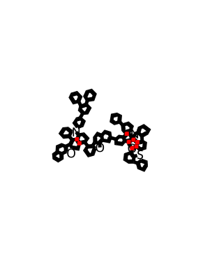 C1=CC(c2ccc3ccc4c(oc5cccc(-c6ccc(N(c7ccc(-c8ccc(-c9ccccc9)c(-c9ccccc9)c8)cc7)c7ccccc7-c7cccc8oc9c%10ccccc%10ccc9c78)cc6)c54)c3c2)Cc2ccc3c(oc4cccc(-c5ccccc5N(c5ccc(-c6ccccc6)cc5)c5ccc(-c6cccc7c6sc6ccccc67)cc5)c43)c21